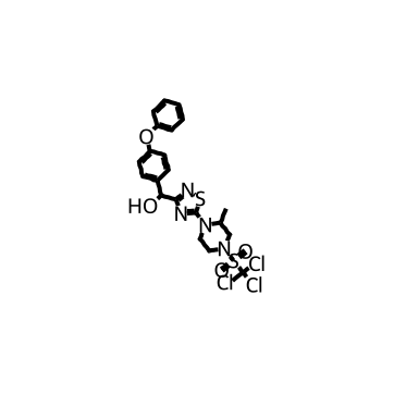 CC1CN(S(=O)(=O)C(Cl)(Cl)Cl)CCN1c1nc(C(O)c2ccc(Oc3ccccc3)cc2)ns1